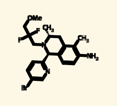 COCC(F)(F)CN1[C@H](c2ccc(Br)cn2)c2ccc(N)c(C)c2C[C@H]1C